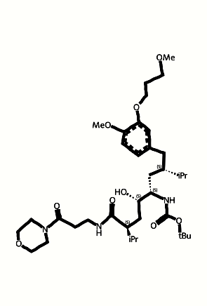 COCCCOc1cc(C[C@@H](C[C@H](NC(=O)OC(C)(C)C)[C@@H](O)C[C@H](C(=O)NCCC(=O)N2CCOCC2)C(C)C)C(C)C)ccc1OC